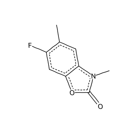 Cc1cc2c(cc1F)oc(=O)n2C